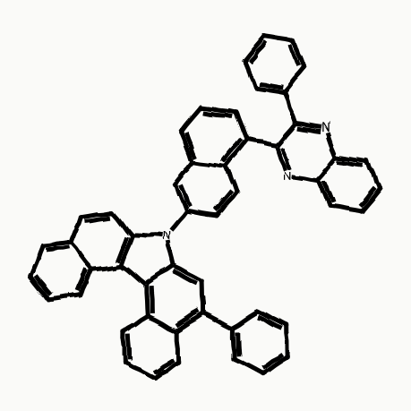 c1ccc(-c2nc3ccccc3nc2-c2cccc3cc(-n4c5ccc6ccccc6c5c5c6ccccc6c(-c6ccccc6)cc54)ccc23)cc1